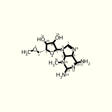 COC[C@H]1OC(N2C=NC3C(N)=NC(N)N(C)C32)C(O)C1O